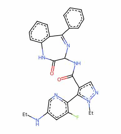 CCNc1cnc(-c2c(C(=O)NC3N=C(c4ccccc4)c4ccccc4NC3=O)cnn2CC)c(F)c1